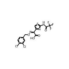 O=C(O)C(=NOCc1ccc(Cl)c(Cl)c1)c1csc(NC(=O)C(F)(F)F)n1